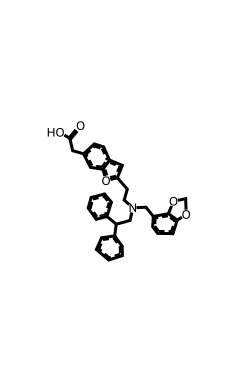 O=C(O)Cc1ccc2cc(CCN(Cc3cccc4c3OCO4)CC(c3ccccc3)c3ccccc3)oc2c1